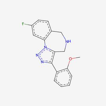 COc1ccccc1-c1nnn2c1CNCc1ccc(F)cc1-2